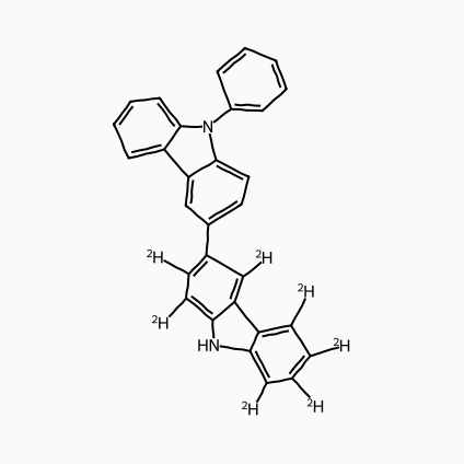 [2H]c1c([2H])c([2H])c2c([nH]c3c([2H])c([2H])c(-c4ccc5c(c4)c4ccccc4n5-c4ccccc4)c([2H])c32)c1[2H]